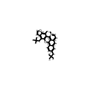 Cc1c2c(c(CC(C)(C)C)c3ccoc13)Oc1c3ccc(CC(C)(C)C)cc3cc3cc[n+](C)c-2c13